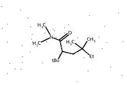 CCC(C)(C)CC(C(=O)N(C)C)C(C)(C)C